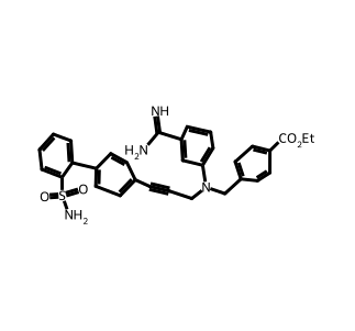 CCOC(=O)c1ccc(CN(CC#Cc2ccc(-c3ccccc3S(N)(=O)=O)cc2)c2cccc(C(=N)N)c2)cc1